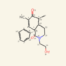 C[C@@H]1C(=O)C(C#N)=C[C@]2(c3ccccc3)C(=O)N(CCO)CCC12